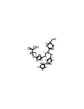 CCc1cnc(N(CCc2csc(SC(C)(C)C(=O)O)n2)Cc2cnn(-c3cccs3)c2)nc1